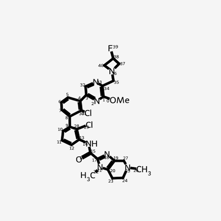 COc1nc(-c2cccc(-c3cccc(NC(=O)c4nc5c(n4C)CCN(C)C5)c3Cl)c2Cl)cnc1CN1CC(F)C1